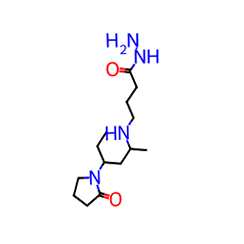 CCC(CC(C)NCCCC(=O)NN)N1CCCC1=O